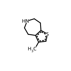 Cc1csc2c1CCNCC2